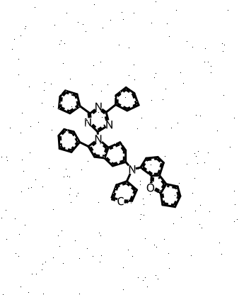 c1ccc(-c2nc(-c3ccccc3)nc(-n3c(-c4ccccc4)cc4cc(N(c5ccccc5)c5cccc6c5oc5ccccc56)ccc43)n2)cc1